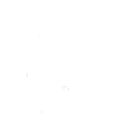 CC(CC1NCCCCC1C)c1cccc(C(O)c2ccccc2)c1